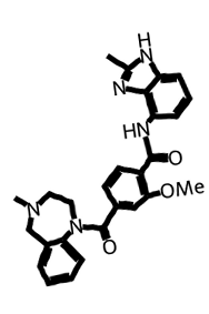 COc1cc(C(=O)N2CCN(C)Cc3ccccc32)ccc1C(=O)Nc1cccc2[nH]c(C)nc12